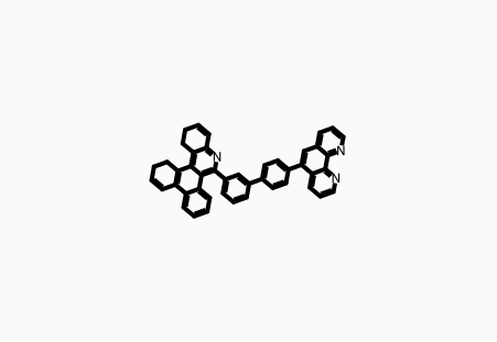 C1=Cc2nc(-c3cccc(-c4ccc(-c5cc6cccnc6c6ncccc56)cc4)c3)c3c(c2CC1)c1c(c2ccccc23)C=CCC1